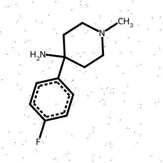 CN1CCC(N)(c2ccc(F)cc2)CC1